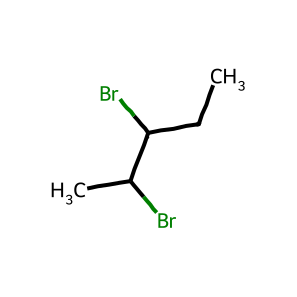 CC[C](Br)C(C)Br